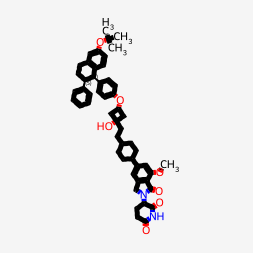 COc1cc(C2CCC(CCC3(O)CC(Oc4ccc([C@@H]5c6ccc(OC(C)(C)C)cc6CC[C@@H]5c5ccccc5)cc4)C3)CC2)cc2c1C(=O)N(C1CCC(=O)NC1=O)C2